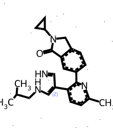 Cc1ccc(/C(C=N)=C/NCC(C)C)c(-c2ccc3c(c2)C(=O)N(C2CC2)C3)n1